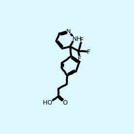 O=C(O)CCc1ccc(C2(C(F)(F)F)C=CC=NN2)cc1